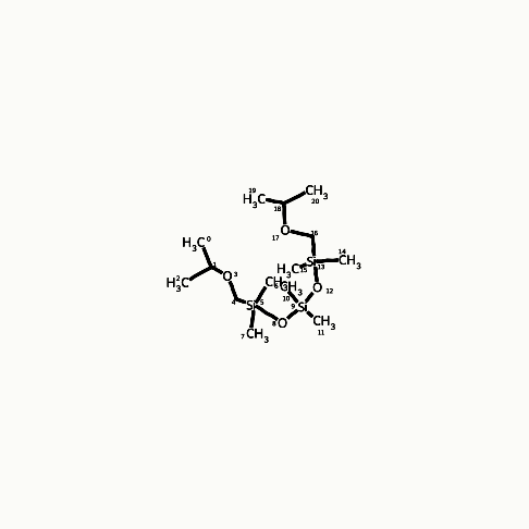 CC(C)OC[Si](C)(C)O[Si](C)(C)O[Si](C)(C)COC(C)C